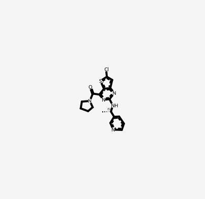 C[C@H](Nc1nc(C(=O)N2CCCC2)c2sc(Cl)cc2n1)c1cccnc1